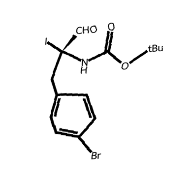 CC(C)(C)OC(=O)N[C@](I)(C=O)Cc1ccc(Br)cc1